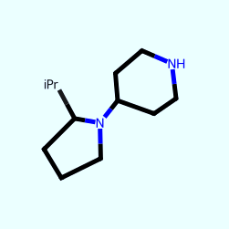 CC(C)C1CCCN1C1CCNCC1